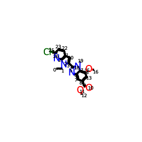 CCn1c(-c2nc3cc(C(=O)OC)cc(OC)c3n2C)cc2ccc(Cl)nc21